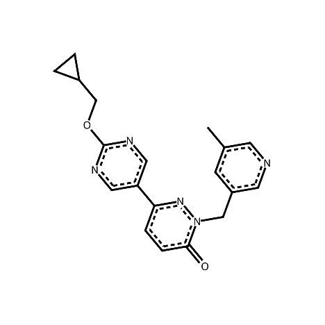 Cc1cncc(Cn2nc(-c3cnc(OCC4CC4)nc3)ccc2=O)c1